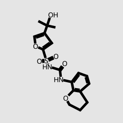 CC(C)(O)c1coc(S(=O)(=O)NC(=O)Nc2cccc3c2OCCC3)c1